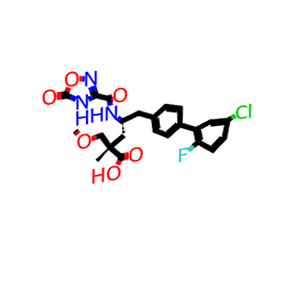 COC[C@](C)(C[C@@H](Cc1ccc(-c2cc(Cl)ccc2F)cc1)NC(=O)c1noc(=O)[nH]1)C(=O)O